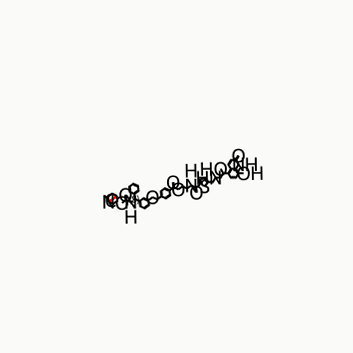 O=C(N[C@@H](c1ccccc1)c1cccc(OCc2ccc(C(=O)OCCNC(=O)c3ccc(CNCC(O)c4ccc(O)c5[nH]c(=O)ccc45)s3)cc2)c1)OC1CN2CCC1CC2